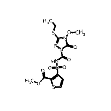 CCSc1nn(C(=O)NS(=O)(=O)c2ccsc2C(=O)OC)c(=O)n1OC